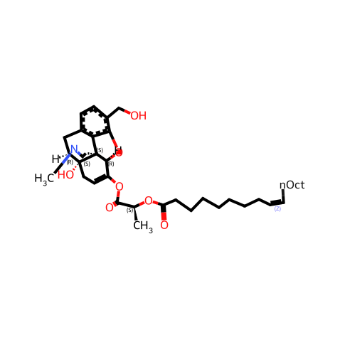 CCCCCCCC/C=C\CCCCCCCC(=O)O[C@@H](C)C(=O)OC1=CC[C@@]2(O)[C@H]3Cc4ccc(CO)c5c4[C@@]2(CCN3C)[C@H]1O5